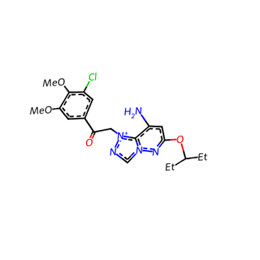 CCC(CC)Oc1cc(N)c2n(cn[n+]2CC(=O)c2cc(Cl)c(OC)c(OC)c2)n1